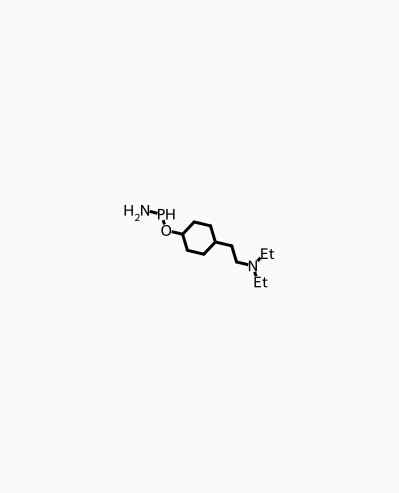 CCN(CC)CCC1CCC(OPN)CC1